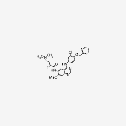 COc1cc2ncnc(Nc3ccc(OCc4ccccn4)c(Cl)c3)c2cc1NC(=O)C(F)=CCN(C)C